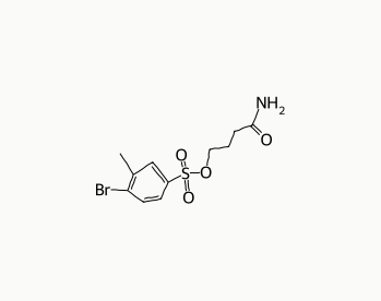 Cc1cc(S(=O)(=O)OCCCC(N)=O)ccc1Br